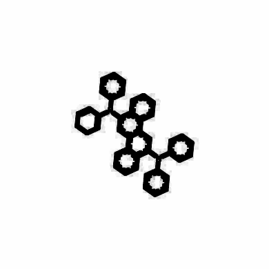 C1=CC(N(c2ccccc2)c2cc3c4ccccc4c(N(c4ccccc4)c4ccccc4)cc3c3ccccc23)=CCC1